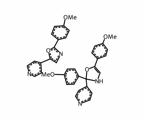 COc1ccc(-c2ncc(-c3ccncc3)o2)cc1.COc1ccc(C2=CNC(c3ccncc3)(c3ccc(OC)cc3)O2)cc1